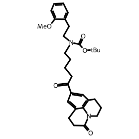 COc1ccccc1CCN(CCCCC(=O)c1cc2c3c(c1)CCC(=O)N3CCC2)C(=O)OC(C)(C)C